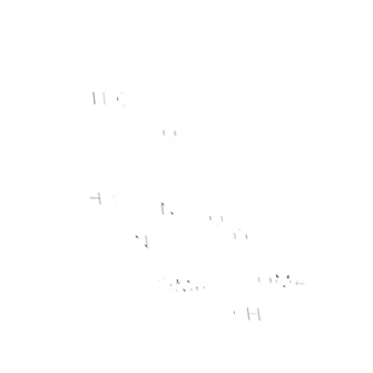 CC=C(C(=O)OC)c1c(OC)nc(C)nc1Oc1cccc(Oc2ccccc2C)c1